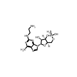 B[PH]1(O)OC[C@H]2O[C@@H](n3cnc4c(N)nc(NCCN)nc43)[C@@H](O)[C@H]2O1